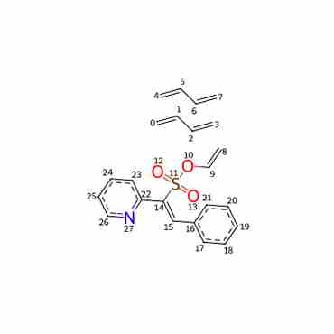 C=CC=C.C=CC=C.C=COS(=O)(=O)C(=Cc1ccccc1)c1ccccn1